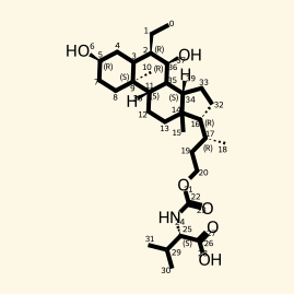 CC[C@@H]1C2C[C@H](O)CC[C@]2(C)[C@H]2CCC3(C)[C@@H]([C@H](C)CCOC(=O)N[C@H](C(=O)O)C(C)C)CC[C@H]3C2[C@@H]1O